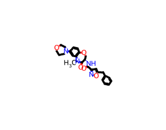 CN1C(=O)[C@@H](NC(=O)c2cc(Cc3ccccc3)on2)COc2ccc(N3CCCOCC3)cc21